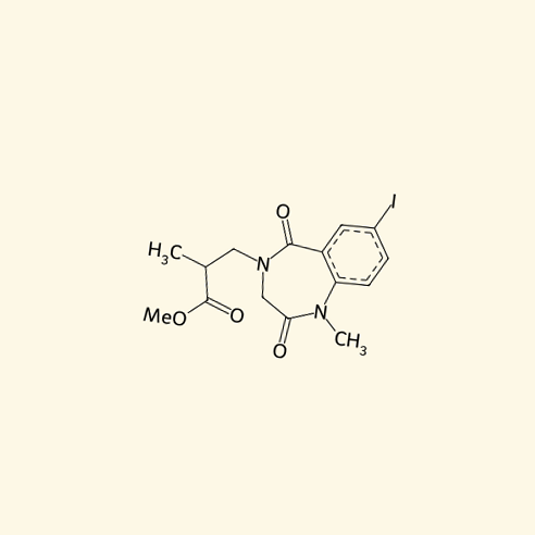 COC(=O)C(C)CN1CC(=O)N(C)c2ccc(I)cc2C1=O